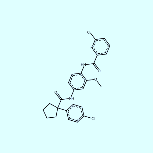 COc1cc(NC(=O)C2(c3ccc(Cl)cc3)CCCC2)ccc1NC(=O)c1cccc(Cl)n1